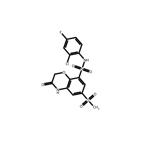 CS(=O)(=O)c1cc2c(c(S(=O)(=O)Nc3ccc(F)cc3Cl)c1)OCC(=O)N2